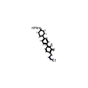 CC/C=C\Cc1ccc(-c2ccc(C3CCC(CCCCCC)CC3)cc2)c(F)c1F